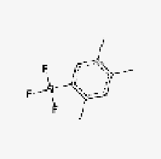 Cc1cc(C)c([Si](F)(F)F)cc1C